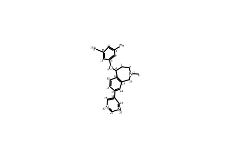 CN1CCC(Oc2cc(F)cc(F)c2)c2ccc(-c3cncnc3)cc2C1